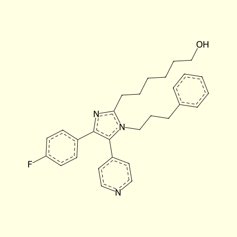 OCCCCCCc1nc(-c2ccc(F)cc2)c(-c2ccncc2)n1CCCc1ccccc1